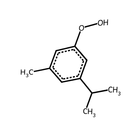 Cc1cc(OO)cc(C(C)C)c1